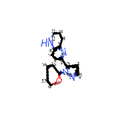 c1cc(-c2ccc3c(n2)CCCN3)n(C2CCCCO2)n1